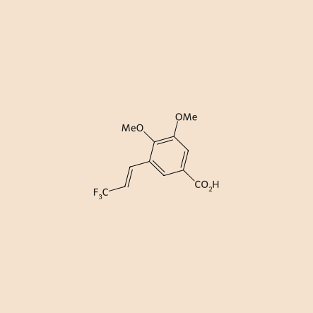 COc1cc(C(=O)O)cc(/C=C/C(F)(F)F)c1OC